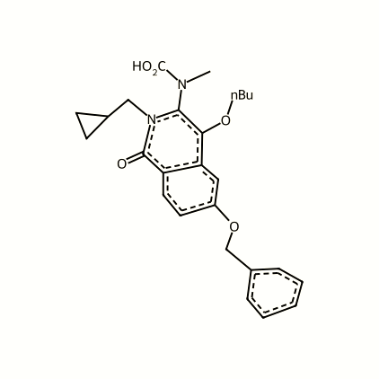 CCCCOc1c(N(C)C(=O)O)n(CC2CC2)c(=O)c2ccc(OCc3ccccc3)cc12